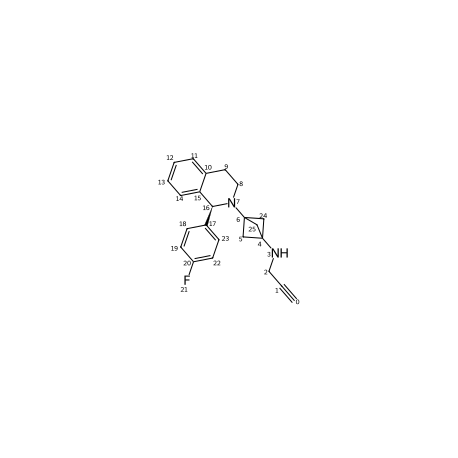 C#CCNC12CC(N3CCc4ccccc4[C@@H]3c3ccc(F)cc3)(C1)C2